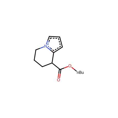 CCCCOC(=O)C1CCCn2cccc21